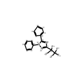 FC(F)(F)C(F)(F)c1nc(-c2ccccc2)n(-c2ccccc2)n1